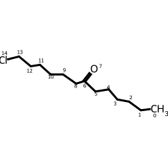 CCCCCCC(=O)CCCCCCCl